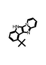 CC(C)(C)c1cccc2[nH]c3c(nc4ccccn43)c12